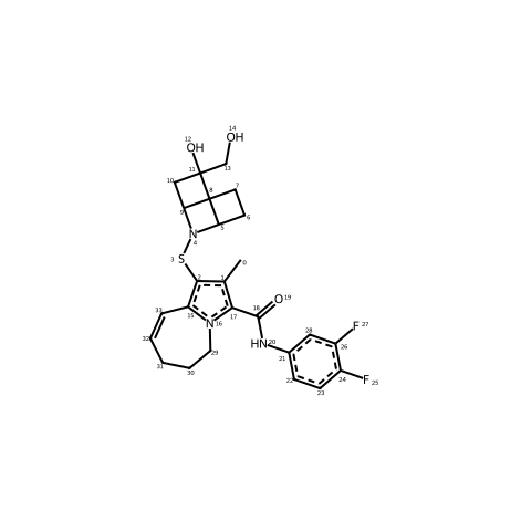 Cc1c(SN2C3CCC34C2CC4(O)CO)c2n(c1C(=O)Nc1ccc(F)c(F)c1)CCCC=C2